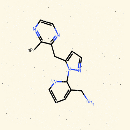 CCCc1nccnc1Cc1ccnn1C1NC=CC=C1CN